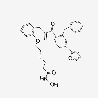 O=C(CCCCCOc1ccccc1CNC(=O)c1ccc(-c2ccco2)cc1Cc1ccccc1)NO